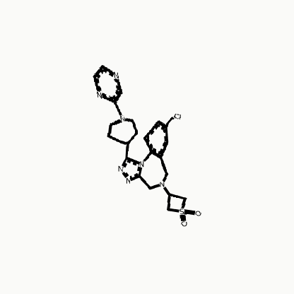 O=S1(=O)CC(N2Cc3cc(Cl)ccc3-n3c(nnc3C3CCN(c4cnccn4)CC3)C2)C1